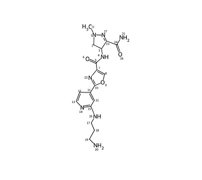 CN1CC(NC(=O)c2coc(-c3ccnc(NCCCN)c3)n2)C(C(N)=O)=N1